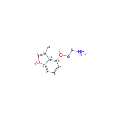 Cc1coc2cccc(OCCN)c12